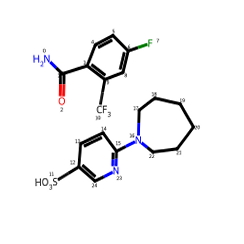 NC(=O)c1ccc(F)cc1C(F)(F)F.O=S(=O)(O)c1ccc(N2CCCCCC2)nc1